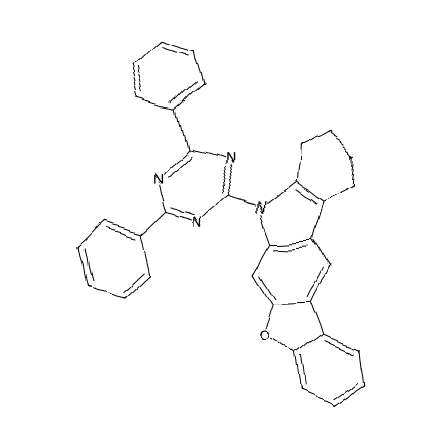 c1ccc(-c2nc(-c3ccccc3)nc(-n3c4c(c5cc6c(cc53)oc3ccccc36)CCCC4)n2)cc1